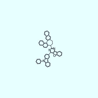 c1ccc(-n2c3ccccc3c3cc(-c4nc(C5CCc6cc7ccccc7cc6-c6c5ccc5ccccc65)nc5c4oc4ccccc45)ccc32)cc1